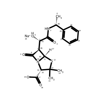 C[C@@H](NC(=O)[C@@H](O)[C@@H]1C(=O)N2[C@@H]1SC(C)(C)[C@@H]2C(=O)[O-])c1ccccc1.[Na+]